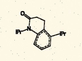 CC(C)c1cccc2c1CCC(=O)N2C(C)C